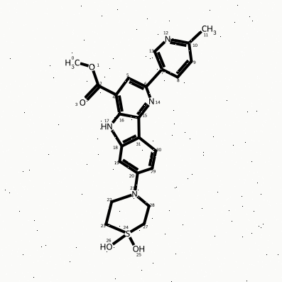 COC(=O)c1cc(-c2ccc(C)nc2)nc2c1[nH]c1cc(N3CCS(O)(O)CC3)ccc12